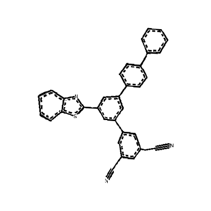 N#Cc1cc(C#N)cc(-c2cc(-c3ccc(-c4ccccc4)cc3)cc(-c3nc4ccccc4s3)c2)c1